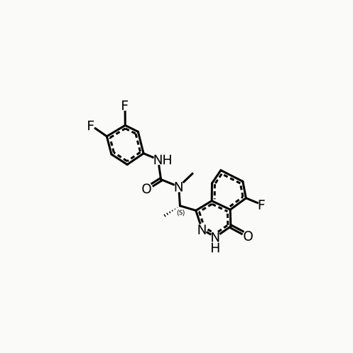 C[C@@H](c1n[nH]c(=O)c2c(F)cccc12)N(C)C(=O)Nc1ccc(F)c(F)c1